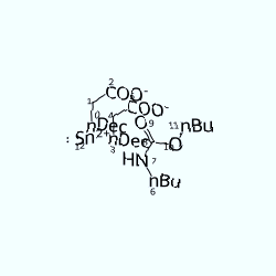 CCCCCCCCCCCC(=O)[O-].CCCCCCCCCCCC(=O)[O-].CCCCNC(=O)OCCCC.[Sn+2]